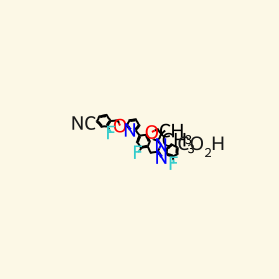 CC1(C)COCC1n1c(Cc2ccc(-c3cccc(OCc4ccc(C#N)cc4F)n3)cc2F)nc2c(F)cc(C(=O)O)cc21